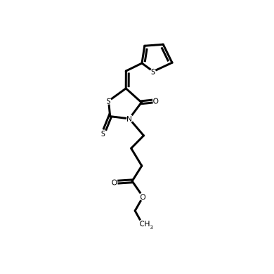 CCOC(=O)CCCN1C(=O)/C(=C\c2cccs2)SC1=S